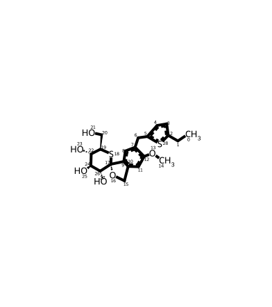 CCc1ccc(Cc2cc3c(cc2OC)CO[C@]32S[C@H](CO)[C@@H](O)[C@H](O)[C@H]2O)s1